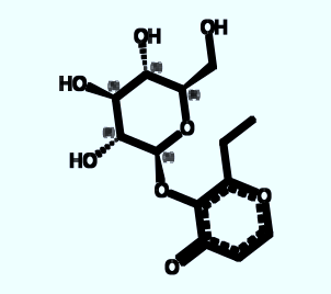 CCc1occc(=O)c1O[C@@H]1O[C@H](CO)[C@@H](O)[C@H](O)[C@H]1O